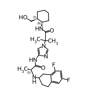 C[C@H](NC1CCc2cc(F)cc(F)c2C1)C(=O)Nc1cn(C(C)(C)C(=O)N[C@@H]2CCCC[C@@H]2CO)cn1